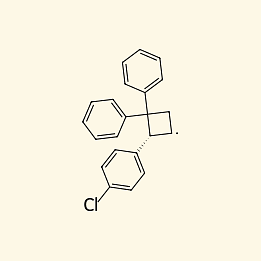 Clc1ccc([C@H]2[CH]CC2(c2ccccc2)c2ccccc2)cc1